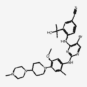 COc1cc(Nc2ncc(Br)c(Nc3ccc(C#N)cc3C(C)(C)O)n2)c(C)cc1N1CCC(N2CCN(C)CC2)CC1